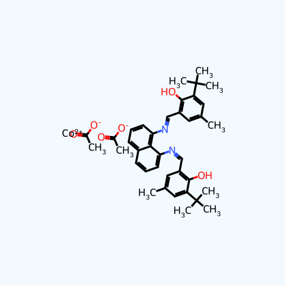 CC(=O)[O-].CC(=O)[O-].Cc1cc(C=Nc2cccc3cccc(N=Cc4cc(C)cc(C(C)(C)C)c4O)c23)c(O)c(C(C)(C)C)c1.[Co+2]